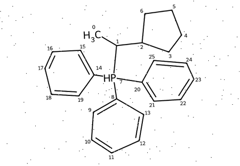 CC(C1CCCC1)[PH](c1ccccc1)(c1ccccc1)c1ccccc1